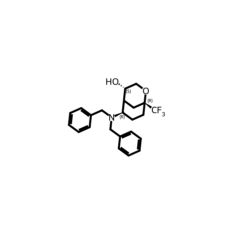 O[C@@H]1CO[C@]2(C(F)(F)F)CC[C@@H](N(Cc3ccccc3)Cc3ccccc3)C1C2